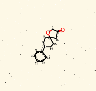 O=C1COC2(CCC(c3ccccc3)CC2)C1